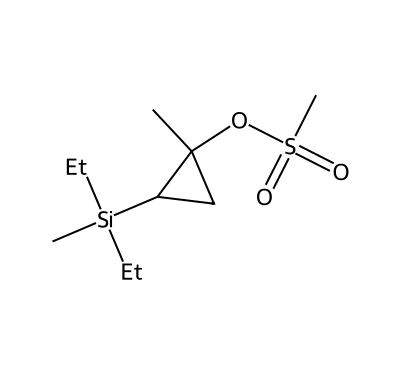 CC[Si](C)(CC)C1CC1(C)OS(C)(=O)=O